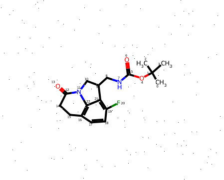 CC(C)(C)OC(=O)NCC1CN2C(=O)CCc3ccc(F)c1c32